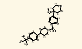 COC1(c2ccc(C(=O)N3CCC(c4ccc(C(F)(F)F)cc4)CC3)cc2)CCNCC1